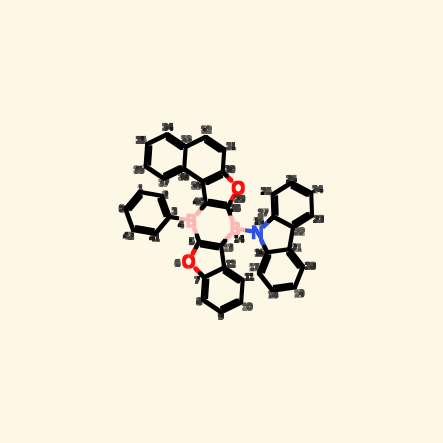 c1ccc(B2c3oc4ccccc4c3B(n3c4ccccc4c4ccccc43)c3oc4ccc5ccccc5c4c32)cc1